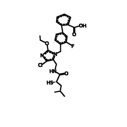 CCOc1nc(Cl)c(CNC(=O)[C@@H](S)CC(C)C)n1Cc1ccc(-c2ccccc2C(=O)O)cc1F